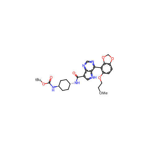 COCCOc1ccc2c(c1-c1ncnc3c(C(=O)N[C@H]4CC[C@H](NC(=O)OC(C)(C)C)CC4)c[nH]c13)OCO2